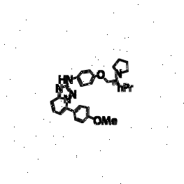 CCC[C@@H](COc1ccc(Nc2nc3cccc(-c4ccc(OC)cc4)n3n2)cc1)N1CCCC1